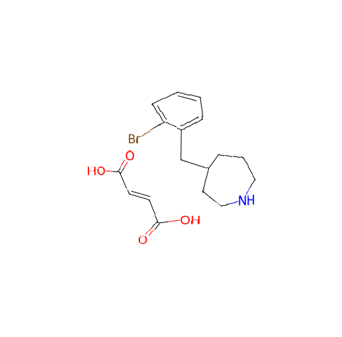 Brc1ccccc1CC1CCCNCC1.O=C(O)C=CC(=O)O